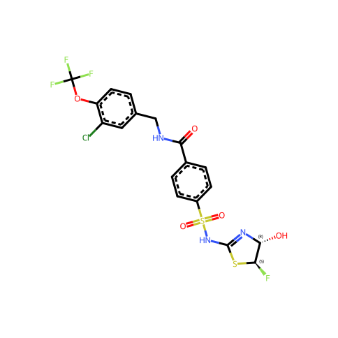 O=C(NCc1ccc(OC(F)(F)F)c(Cl)c1)c1ccc(S(=O)(=O)NC2=N[C@H](O)[C@@H](F)S2)cc1